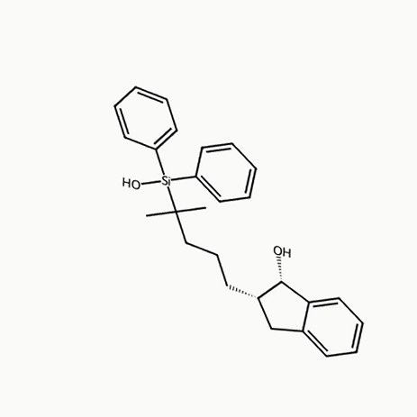 CC(C)(CCC[C@H]1Cc2ccccc2[C@H]1O)[Si](O)(c1ccccc1)c1ccccc1